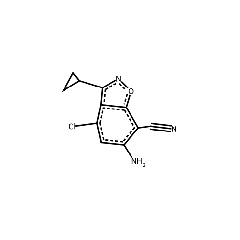 N#Cc1c(N)cc(Cl)c2c(C3CC3)noc12